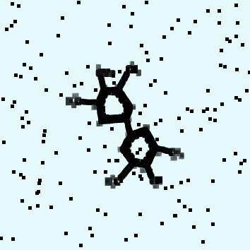 COc1c(C)cc(-c2cc(C)c(O)c(C)c2)cc1C